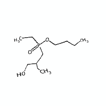 CCCCOP(=O)(CC)CC(C)CO